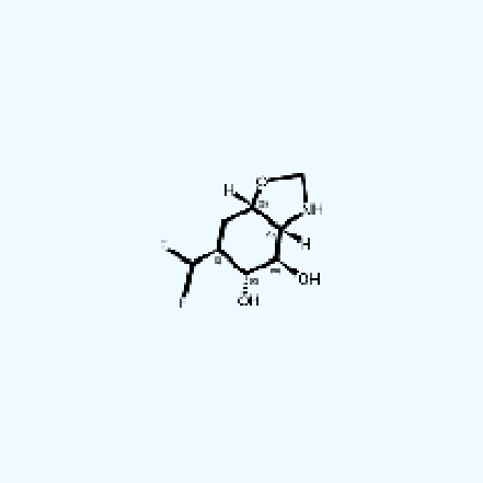 O[C@H]1[C@H](O)[C@@H](C(F)F)C[C@@H]2OCN[C@H]12